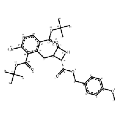 COc1ccc(COC(=O)[C@H]2NC(=O)C2Cc2c(C(=O)OC(C)(C)C)cnc(N)c2C(=O)OC(C)(C)C)cc1